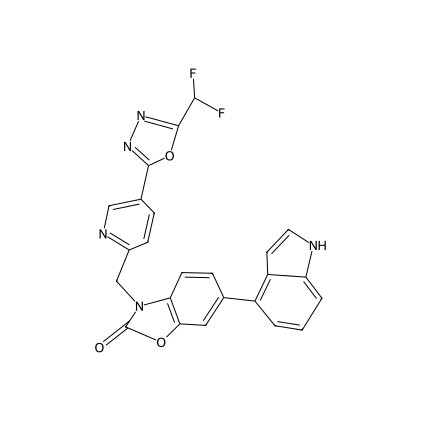 O=c1oc2cc(-c3cccc4[nH]ccc34)ccc2n1Cc1ccc(-c2nnc(C(F)F)o2)cn1